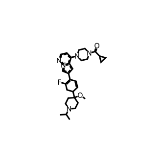 COC1(C2C=CC(c3cc4c(N5CCN(C(=O)C6CC6)CC5)ccnn4c3)=C(F)C2)CCN(C(C)C)CC1